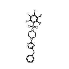 O=S(=O)(c1c(F)c(F)c(F)c(F)c1F)N1CCN(c2nc(Cc3ccccc3)cs2)CC1